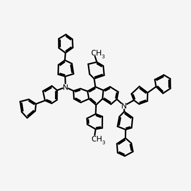 CC1=CC=C(c2c3cc(N(c4ccc(-c5ccccc5)cc4)c4ccc(-c5ccccc5)cc4)ccc3c(-c3ccc(C)cc3)c3cc(N(c4ccc(-c5ccccc5)cc4)c4ccc(-c5ccccc5)cc4)ccc23)CC1